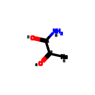 NC(=O)[C](=O)[Na]